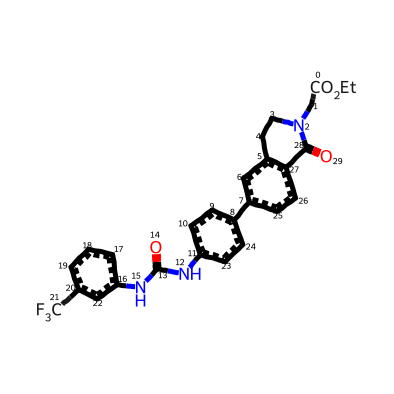 CCOC(=O)CN1CCc2cc(-c3ccc(NC(=O)Nc4cccc(C(F)(F)F)c4)cc3)ccc2C1=O